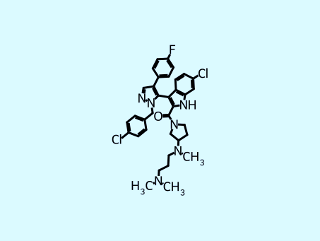 CN(C)CCCN(C)C1CCN(C(=O)c2[nH]c3cc(Cl)ccc3c2-c2c(-c3ccc(F)cc3)cnn2Cc2ccc(Cl)cc2)C1